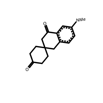 CNc1ccc2c(c1)C(=O)CC1(CCC(=O)CC1)C2